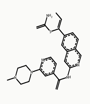 C=C(N)S/C(=C\C)c1ccc2cnc(NC(=C)c3ccnc(N4CCN(C)CC4)c3)cc2c1